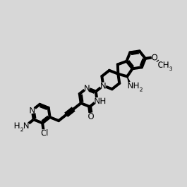 COc1ccc2c(c1)[C@@H](N)C1(CCN(c3ncc(C#CCc4ccnc(N)c4Cl)c(=O)[nH]3)CC1)C2